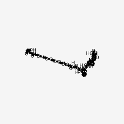 O=C(CCN1C(=O)C=CC1=O)NCCOCCOCCOCCOCCOCCOCCOCCOCCC(=O)NCC(=O)NCC(=O)NC(Cc1ccccc1)C(=O)NCC(=O)Nc1ccc2nc3c(c4c2c1CCC4)Cn1c-3cc2c(c1=O)COC(=O)[C@H]2O